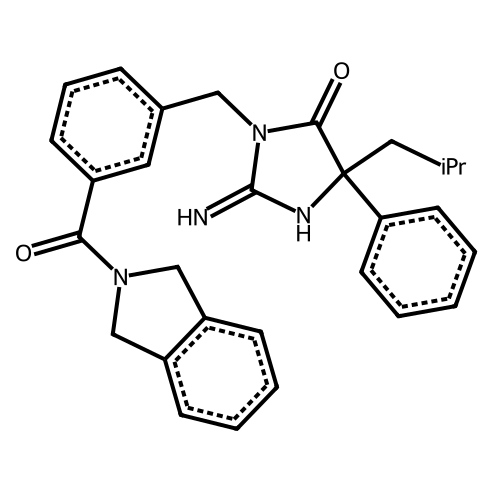 CC(C)CC1(c2ccccc2)NC(=N)N(Cc2cccc(C(=O)N3Cc4ccccc4C3)c2)C1=O